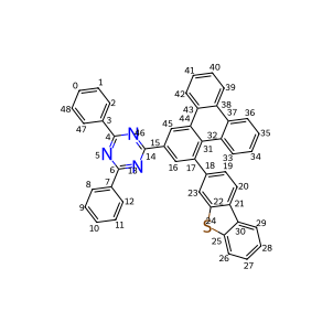 c1ccc(-c2nc(-c3ccccc3)nc(-c3cc(-c4ccc5c(c4)sc4ccccc45)c4c5ccccc5c5ccccc5c4c3)n2)cc1